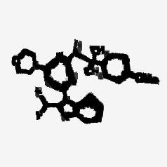 COc1ccc(C(C)(C)Nc2nc(N3CCOCC3)nc(-n3c(C(F)F)nc4ccccc43)n2)cc1